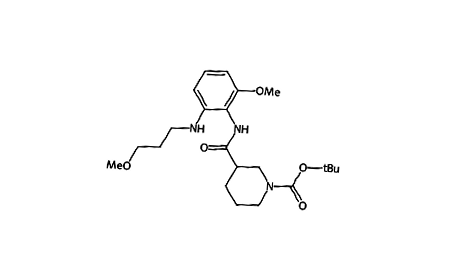 COCCCNc1cccc(OC)c1NC(=O)C1CCCN(C(=O)OC(C)(C)C)C1